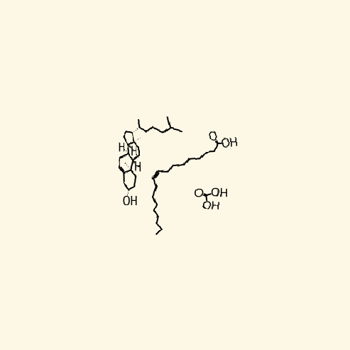 CC(C)CCCC(C)[C@H]1CC[C@H]2[C@@H]3CC=C4C[C@@H](O)CC[C@]4(C)[C@H]3CC[C@]12C.CCCCCCCC/C=C\CCCCCCCC(=O)O.O=C(O)O